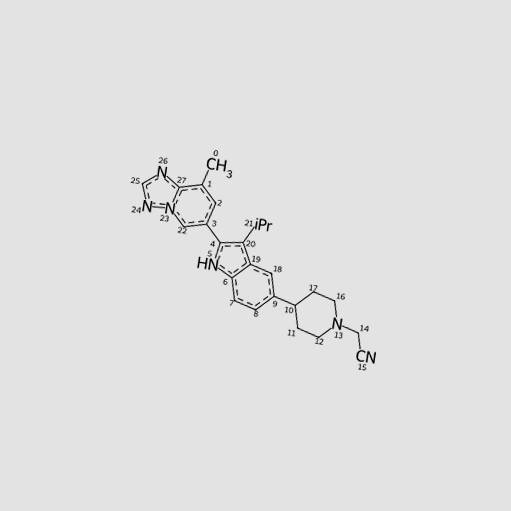 Cc1cc(-c2[nH]c3ccc(C4CCN(CC#N)CC4)cc3c2C(C)C)cn2ncnc12